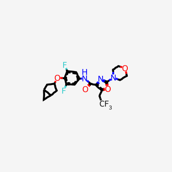 O=C(Nc1cc(F)c(OC2CC3CC3C2)c(F)c1)c1nc(N2CCOCC2)oc1CC(F)(F)F